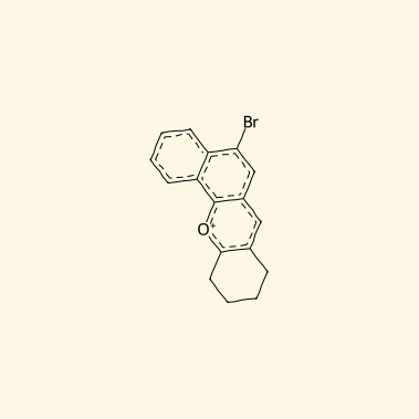 Brc1cc2cc3c([o+]c2c2ccccc12)CCCC3